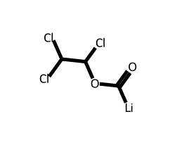 [Li][C](=O)OC(Cl)C(Cl)Cl